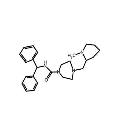 CN1CCCCC1CN1CCN(C(=O)NC(c2ccccc2)c2ccccc2)CC1